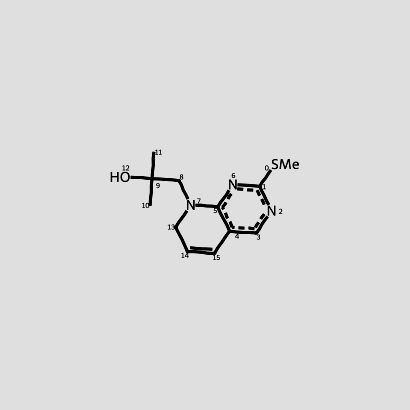 CSc1ncc2c(n1)N(CC(C)(C)O)CC=C2